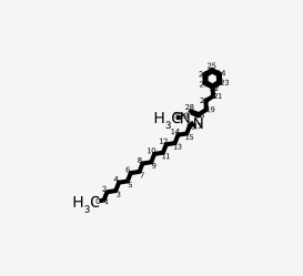 CCCCCCCCCCCCCCCCc1nc(CCCc2ccccc2)cn1C